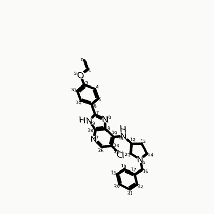 CCOc1ccc(-c2nc3c(NC4CCN(Cc5ccccc5)C4)c(Cl)cnc3[nH]2)cc1